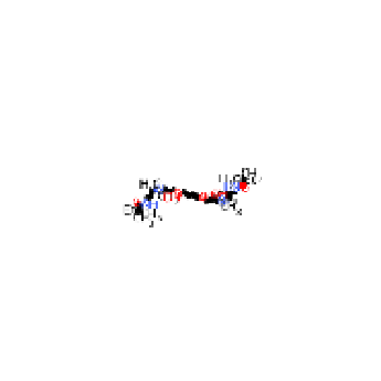 CCC(C)(C)C(=O)NCCC[N+](C)(C)CC(O)COCCCCOCC(O)C[N+](C)(C)CCCNC(=O)C(C)(C)CC